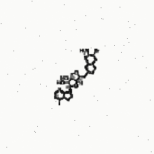 Cc1ncnc2c1ccn2[C@@H]1O[C@@H]2[C@H](Cc3ccc4cc(Br)c(N)nc4c3)OC[C@]2(O)C1O